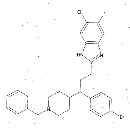 Fc1cc2nc(CCC(c3ccc(Br)cc3)C3CCN(Cc4ccccc4)CC3)[nH]c2cc1Cl